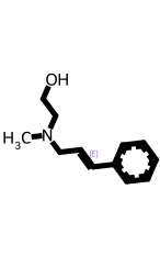 CN(C/C=C/c1ccccc1)CCO